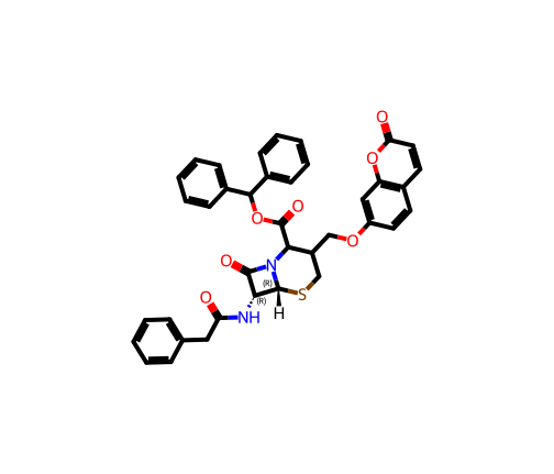 O=C(Cc1ccccc1)N[C@@H]1C(=O)N2C(C(=O)OC(c3ccccc3)c3ccccc3)C(COc3ccc4ccc(=O)oc4c3)CS[C@H]12